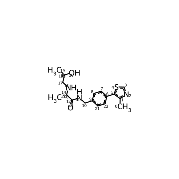 Cc1ncsc1-c1ccc(CNC(=O)[C@H](C)NC[C@@H](C)O)cc1